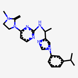 C=C1N(C)CCN1c1ccnc(NC(C)c2cn(-c3cccc(C(C)C)c3)cn2)n1